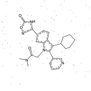 CN(C)C(=O)Cn1c(-c2cccnc2)c(C2CCCCC2)c2ccc(-c3noc(=O)[nH]3)cc21